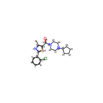 Cc1nc(-c2ccccc2Cl)sc1C(=O)N1CCN(C2CCCC2)CC1